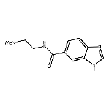 CNCCNC(=O)c1ccc2nc[nH]c2c1